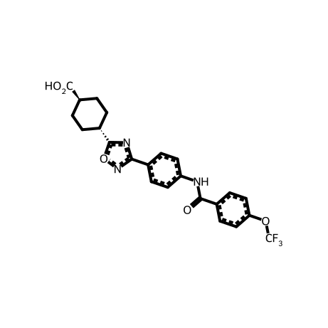 O=C(Nc1ccc(-c2noc([C@H]3CC[C@H](C(=O)O)CC3)n2)cc1)c1ccc(OC(F)(F)F)cc1